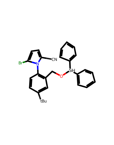 CC(C)(C)c1ccc(-n2c(Br)ccc2C#N)c(CO[SiH](c2ccccc2)c2ccccc2)c1